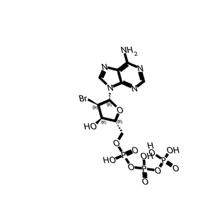 Nc1ncnc2c1ncn2[C@@H]1O[C@H](COP(=O)(O)OP(=O)(O)OP(=O)(O)O)[C@@H](O)[C@H]1Br